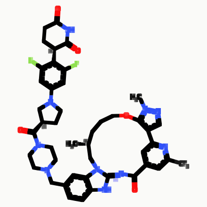 C[C@@H]1CCCOc2c(cnn2C)-c2cc(cc(C(F)(F)F)n2)C(=O)/N=C2\Nc3ccc(CN4CCN(C(=O)[C@@H]5CCN(c6cc(F)c([C@H]7CCC(=O)NC7=O)c(F)c6)C5)CC4)cc3N2C1